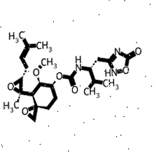 CO[C@@H]1[C@H](OC(=O)N[C@H](Cc2nc(=O)o[nH]2)C(C)C)CC[C@]2(CO2)[C@H]1[C@@]1(C)O[C@@H]1CC=C(C)C